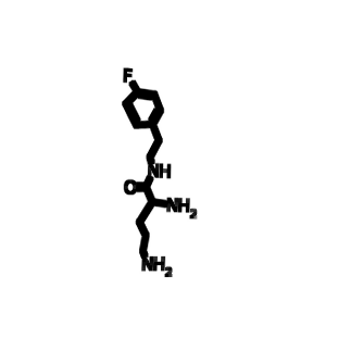 NCCCC(N)C(=O)NCCc1ccc(F)cc1